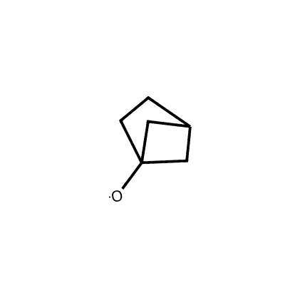 [O]C12CCC(C1)C2